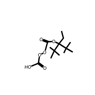 CCC(OC(=O)OOC(=O)O)(C(C)(C)C)C(C)(C)C